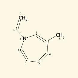 C=CN1C=CC=CC(C)=C1